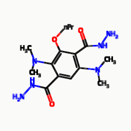 CCCOc1c(C(=O)NN)c(N(C)C)cc(C(=O)NN)c1N(C)C